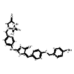 CC(C)(C)c1ccc(COc2ccc(C=C3SC(Nc4ccc(CN5CC(=O)NS5(=O)=O)cc4)=NC3=O)cc2)cc1